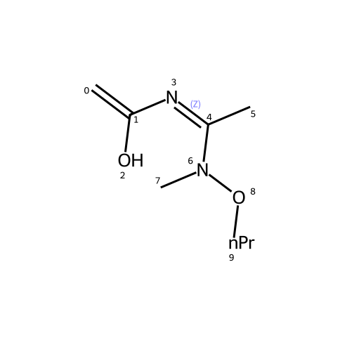 C=C(O)/N=C(/C)N(C)OCCC